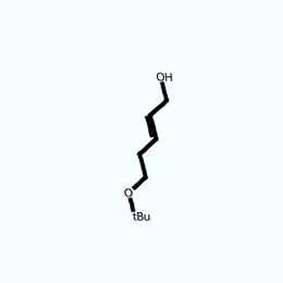 CC(C)(C)OCCC=CCO